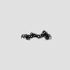 O=C1CC[C@@H](N2Cc3c(ccc4c3OCC43CCN(C4CCC(Cc5ccc6c(c5)-n5c(nc(=O)c7c(Cl)cccc75)C65CCCCC5)CC4)CC3)C2=O)C(=O)N1